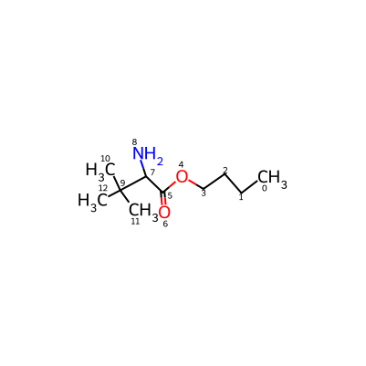 CCCCOC(=O)C(N)C(C)(C)C